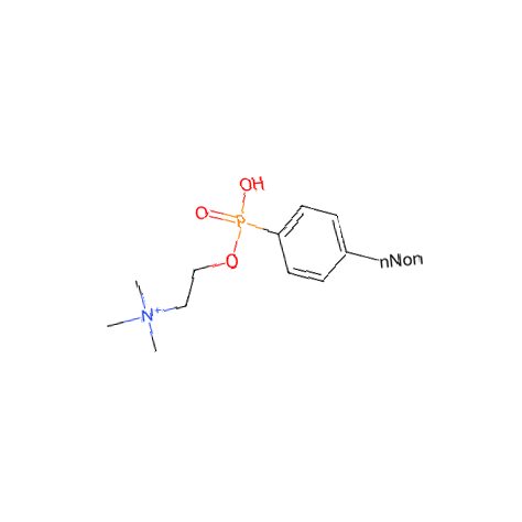 CCCCCCCCCc1ccc(P(=O)(O)OCC[N+](C)(C)C)cc1